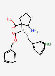 Cl.NC1CCCC1(C(=O)O)[C@H](CCc1ccccc1)C(=O)OCc1ccccc1